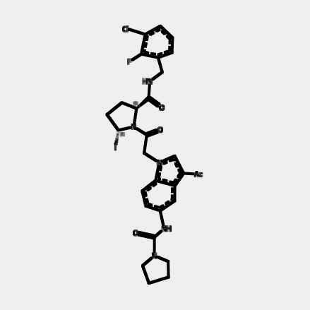 CC(=O)c1cn(CC(=O)N2[C@H](I)CC[C@H]2C(=O)NCc2cccc(Cl)c2F)c2ccc(NC(=O)N3CCCC3)cc12